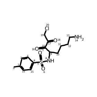 Cc1ccc(S(=O)(=O)NC(CCCCN)C(=O)C(=O)CCl)cc1